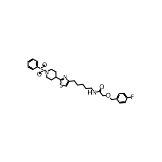 O=C(COCc1ccc(F)cc1)NCCCCCc1csc(C2CCN(S(=O)(=O)c3ccccc3)CC2)n1